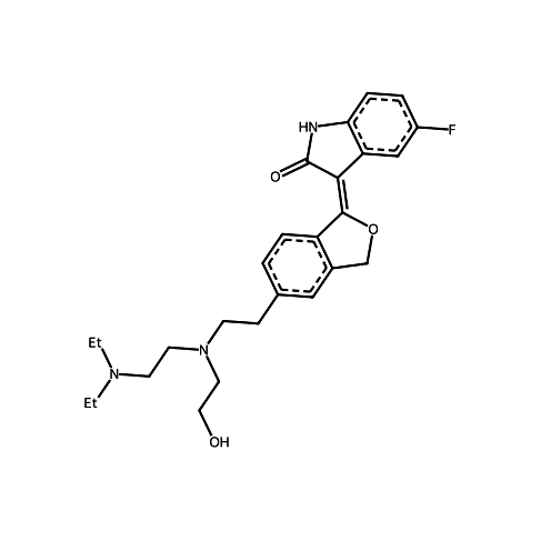 CCN(CC)CCN(CCO)CCc1ccc2c(c1)COC2=C1C(=O)Nc2ccc(F)cc21